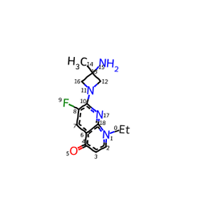 CCn1ccc(=O)c2cc(F)c(N3CC(C)(N)C3)nc21